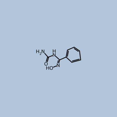 NC(=O)NC(=NO)c1ccccc1